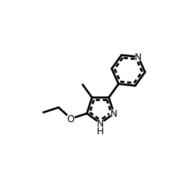 CCOc1[nH]nc(-c2ccncc2)c1C